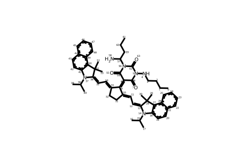 CCCCNN1C(=O)C(=C2/C(=C/C=C3/N(C(C)C)c4ccc5ccccc5c4C3(C)C)CC/C2=C\C=C2\N(C(C)C)c3ccc4ccccc4c3C2(C)C)C(=O)N(C(N)CCC)C1=O